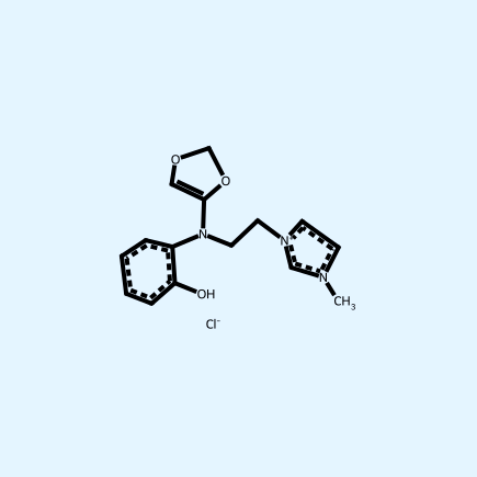 Cn1cc[n+](CCN(C2=COCO2)c2ccccc2O)c1.[Cl-]